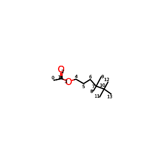 CC(=O)OCCCC(C)(C)C(C)(C)C